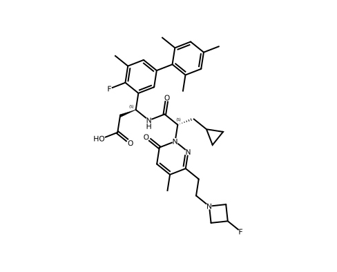 Cc1cc(C)c(-c2cc(C)c(F)c([C@H](CC(=O)O)NC(=O)[C@H](CC3CC3)n3nc(CCN4CC(F)C4)c(C)cc3=O)c2)c(C)c1